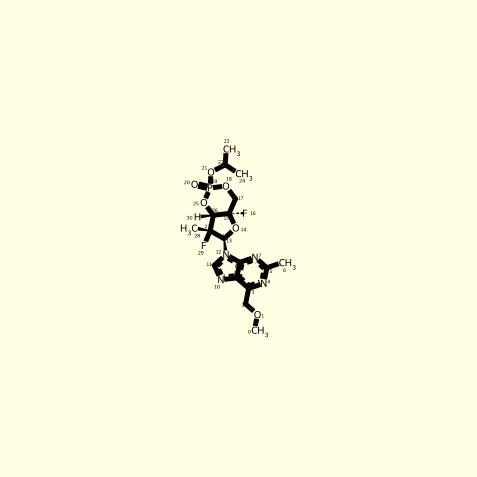 COCc1nc(C)nc2c1ncn2[C@@H]1O[C@]2(F)COP(=O)(OC(C)C)O[C@H]2[C@@]1(C)F